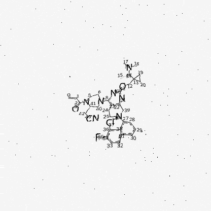 C=CC(=O)N1CCN(c2nc(OCC3([C@H](C)N(C)C)CC3)nc3c2CCN(c2cccc4ccc(F)c(Cl)c24)C3)CC1CC#N